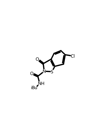 CCC(C)NC(=O)n1sc2cc(Cl)ccc2c1=O